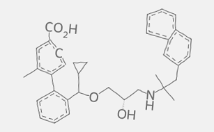 Cc1cc(C(=O)O)ccc1-c1ccccc1C(OC[C@@H](O)CNC(C)(C)Cc1ccc2ccccc2c1)C1CC1